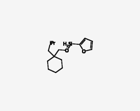 CC(C)CC1(CO[SiH2]c2ccco2)CCCCC1